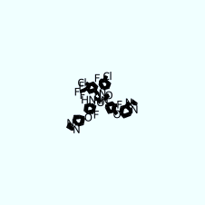 O=C(Nc1ccc(Oc2ccc3nccnc3c2)c(F)c1)N(c1ccc(Cl)c(F)c1)N(C(=O)Nc1ccc(Oc2ccc3nccnc3c2)c(F)c1)c1ccc(Cl)c(C(F)(F)F)c1